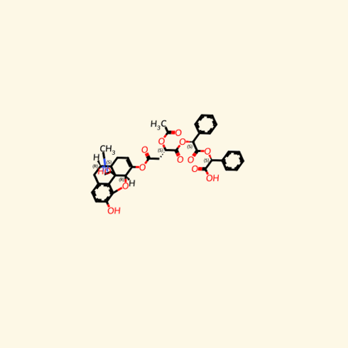 CC(=O)O[C@@H](CC(=O)OC1=CC[C@@]2(O)[C@H]3Cc4ccc(O)c5c4C2(CCN3C)[C@H]1O5)C(=O)O[C@H](C(=O)O[C@H](C(=O)O)c1ccccc1)c1ccccc1